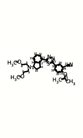 COCCN(CCOC)[C@H]1CCc2c(-c3nnc(-c4ccc(OC(C)C)c(C#N)c4)s3)cccc21